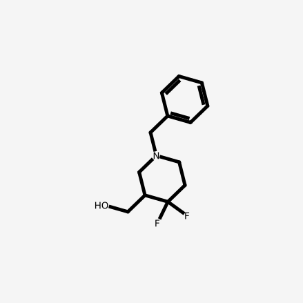 OCC1CN(Cc2ccccc2)CCC1(F)F